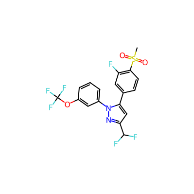 CS(=O)(=O)c1ccc(-c2cc(C(F)F)nn2-c2cccc(OC(F)(F)F)c2)cc1F